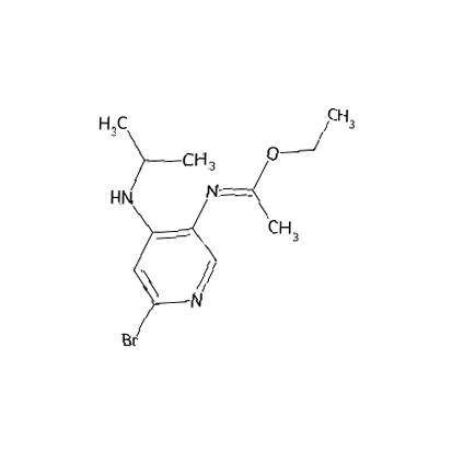 CCO/C(C)=N/c1cnc(Br)cc1NC(C)C